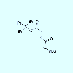 CCCCOC(=O)/C=C/C(=O)O[Si](C(C)C)(C(C)C)C(C)C